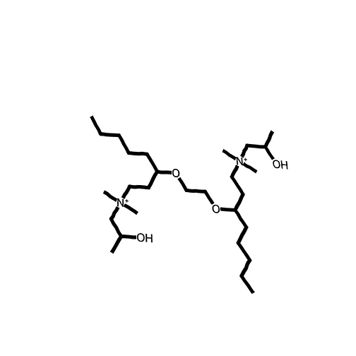 CCCCCC(CC[N+](C)(C)CC(C)O)OCCOC(CCCCC)CC[N+](C)(C)CC(C)O